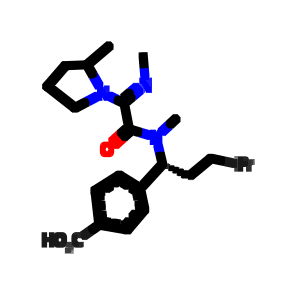 CN=C(C(=O)N(C)[C@H](CCC(C)C)c1ccc(C(=O)O)cc1)N1CCCC1C